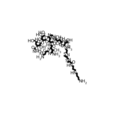 Cc1c(N)nc([C@@H](C)CC(N)=O)nc1C(=O)N[C@H](C(=O)N[C@H](C)[C@@H](C)[C@H](C)C(=O)N[C@H](C(=O)NCCc1nc(-c2nc(C(=O)NCCCNCCCCN)cs2)cs1)[C@@H](C)O)[C@@H](O[C@@H]1O[C@@H](CO)[C@@H](O)[C@H](O)[C@@H]1O[C@H]1O[C@H](CO)C[C@H](OC(N)=O)[C@@H]1O)c1cnc[nH]1